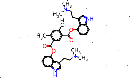 Cc1cc(C)c(C(=O)Oc2cccc3[nH]cc(CCN(C)C)c23)cc1C(=O)Oc1cccc2[nH]cc(CCN(C)C)c12